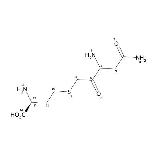 NC(=O)CC(N)C(=O)CSCC[C@H](N)C(=O)O